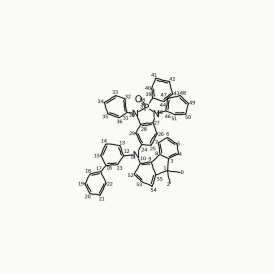 CC1(C)c2ccccc2-c2c(N(c3cccc(-c4ccccc4)c3)c3ccc4c(c3)N(c3ccccc3)P(=O)(c3ccccc3)N4c3ccccc3)cccc21